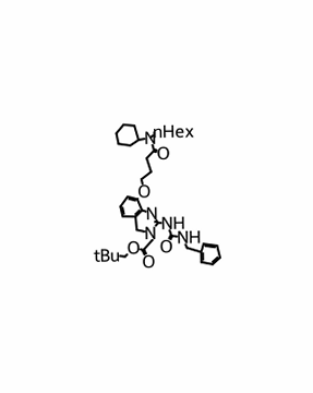 CCCCCCN(C(=O)CCCOc1cccc2c1N=C(NC(=O)NCc1ccccc1)N(CC(=O)OCC(C)(C)C)C2)C1CCCCC1